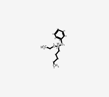 CCCCC[SiH](OCC)Oc1ccccc1